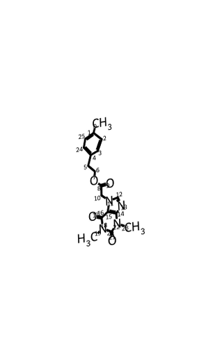 Cc1ccc(CCOC(=O)Cn2cnc3c2c(=O)n(C)c(=O)n3C)cc1